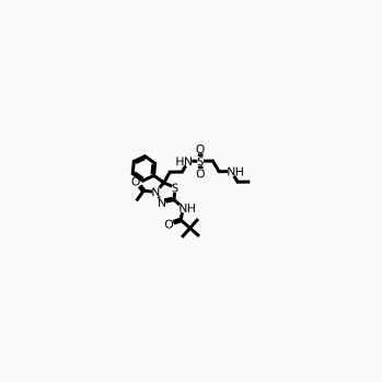 CCNCCS(=O)(=O)NCCC1(c2ccccc2)SC(NC(=O)C(C)(C)C)=NN1C(C)=O